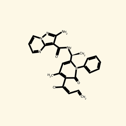 C=C/C=C(/Cl)c1c(C)cc([C@H](C)NC(=O)c2c(N)nn3cccnc23)n(-c2ccccc2)c1=O